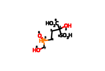 O=C(O)C(O)(CC[PH](=O)CO)S(=O)(=O)O